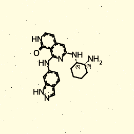 N[C@@H]1CCCC[C@@H]1Nc1cc2cc[nH]c(=O)c2c(Nc2ccc3cn[nH]c3c2)n1